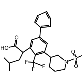 CC(C)CC(C(=O)O)c1cc(-c2ccccc2)cc(C2CCCN(S(C)(=O)=O)C2)c1C(F)(F)F